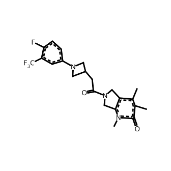 Cc1c2c(n(C)c(=O)c1C)CN(C(=O)CC1CN(c3ccc(F)c(C(F)(F)F)c3)C1)C2